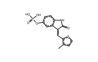 Cc1ccsc1C=C1C(=O)Nc2ccc(OP(=O)(O)O)cc21